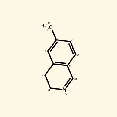 [CH2]c1ccc2c(c1)CCN=C2